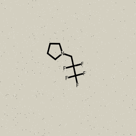 FC(F)(F)C(F)(F)CN1CCCC1